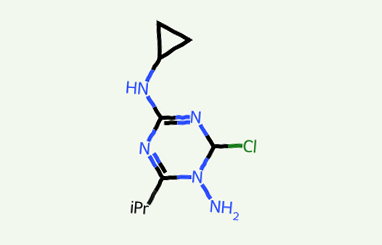 CC(C)C1=NC(NC2CC2)=NC(Cl)N1N